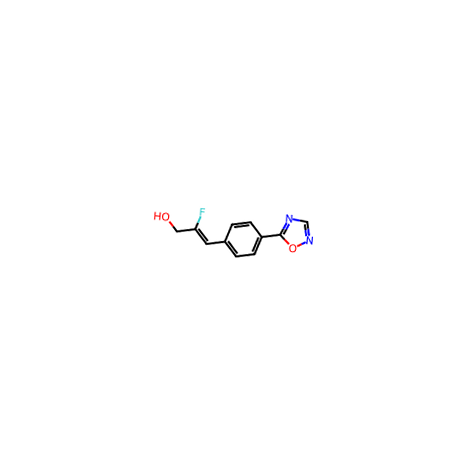 OCC(F)=Cc1ccc(-c2ncno2)cc1